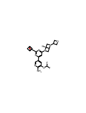 Nc1ncc(-c2cc(N3CC4[C@H]3CN4C3COC3)nc(N3CC4CC3C4)n2)cc1OC(F)F